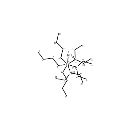 CCC[CH2][Ta]([NH2])([CH2]CCC)([CH2]CCC)([N](CC)CC)([N](CC)CC)[N](CC)CC